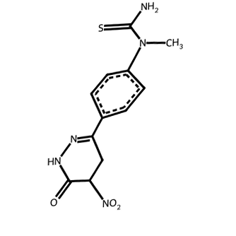 CN(C(N)=S)c1ccc(C2=NNC(=O)C([N+](=O)[O-])C2)cc1